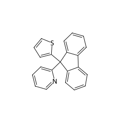 c1ccc(C2(c3cccs3)c3ccccc3-c3ccccc32)nc1